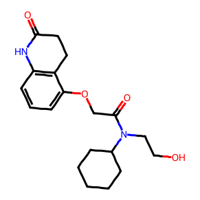 O=C1CCc2c(cccc2OCC(=O)N(CCO)C2CCCCC2)N1